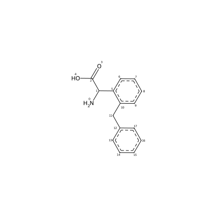 NC(C(=O)O)c1ccccc1Cc1ccccc1